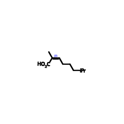 C/C(=C/CCCC(C)C)C(=O)O